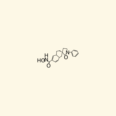 O=C(NO)C1=CC2CC[C@]3(CCN(c4ccccc4)C3=O)CC2C=C1